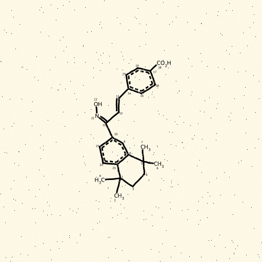 CC1(C)CCC(C)(C)c2cc(C(/C=C/c3ccc(C(=O)O)cc3)=N/O)ccc21